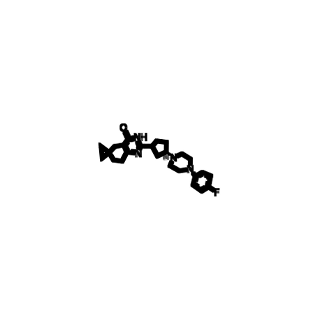 O=c1[nH]c(C2CC[C@H](N3CCN(c4ccc(F)cc4)CC3)C2)nc2c1CC1(CC2)CC1